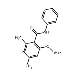 CCCCCCOc1cc(C)nc(C)c1C(=O)Nc1ccccc1